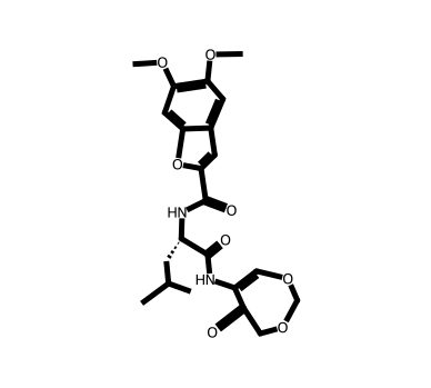 COc1cc2cc(C(=O)N[C@@H](CC(C)C)C(=O)NC3=COCOCC3=O)oc2cc1OC